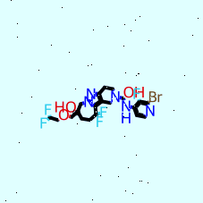 OC(Nc1ccnc(Br)c1F)N1CCc2nn3c(c2C1)C(F)(F)CC[C@@](O)(COCC(F)F)C3